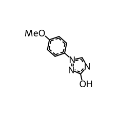 COc1ccc(-n2cnc(O)n2)cc1